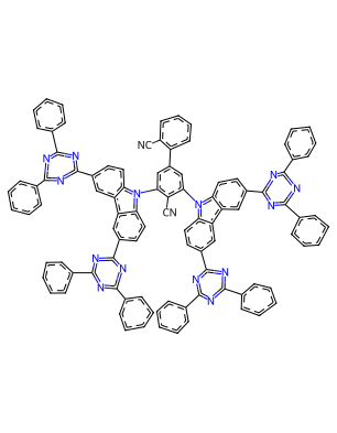 N#Cc1ccccc1-c1cc(-n2c3ccc(-c4nc(-c5ccccc5)nc(-c5ccccc5)n4)cc3c3cc(-c4nc(-c5ccccc5)nc(-c5ccccc5)n4)ccc32)c(C#N)c(-n2c3ccc(-c4nc(-c5ccccc5)nc(-c5ccccc5)n4)cc3c3cc(-c4nc(-c5ccccc5)nc(-c5ccccc5)n4)ccc32)c1